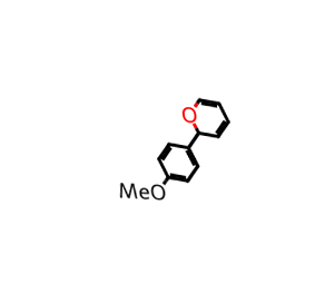 COc1ccc(C2C=CC=CO2)cc1